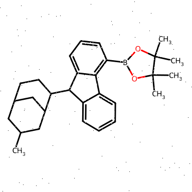 CC1CC2CCC(C3c4ccccc4-c4c(B5OC(C)(C)C(C)(C)O5)cccc43)C(C1)C2